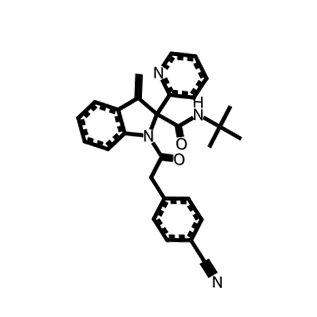 C=C1c2ccccc2N(C(=O)Cc2ccc(C#N)cc2)C1(C(=O)NC(C)(C)C)c1ccccn1